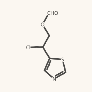 O=COCC(Cl)c1cncs1